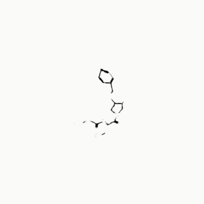 CC(C)C[C@H](NC(=O)OC(C)(C)C)C(=O)N1CC(O)C(SCc2ccccc2)C1